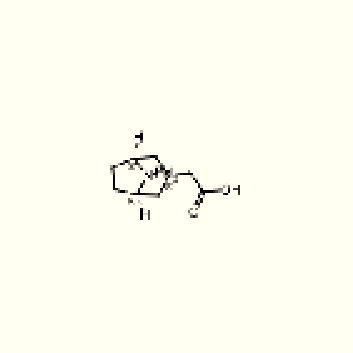 O=C(O)C[C@H]1C[C@H]2CC[C@@H](C1)N2P